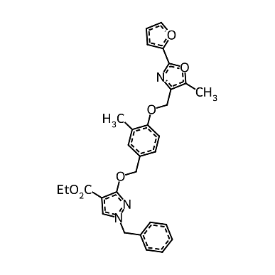 CCOC(=O)c1cn(Cc2ccccc2)nc1OCc1ccc(OCc2nc(-c3ccco3)oc2C)c(C)c1